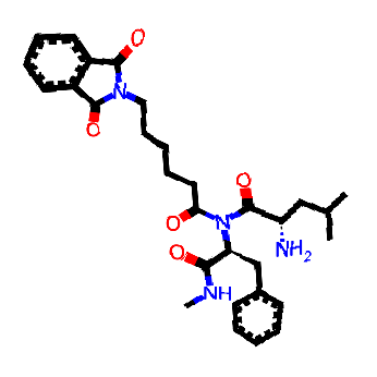 CNC(=O)[C@H](Cc1ccccc1)N(C(=O)CCCCCN1C(=O)c2ccccc2C1=O)C(=O)[C@@H](N)CC(C)C